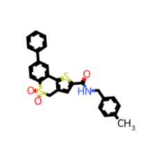 Cc1ccc(CNC(=O)c2cc3c(s2)-c2cc(-c4ccccc4)ccc2S(=O)(=O)C3)cc1